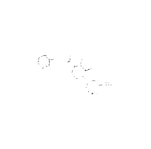 COC[C@H](CCC(=O)O)N1CCN(C(=O)OCc2ccccc2)[C@@H](C)C1=O